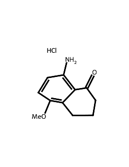 COc1ccc(N)c2c1CCCC2=O.Cl